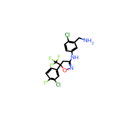 NCc1cc(NC2=NOC(c3ccc(F)c(Cl)c3)(C(F)(F)F)C2)ccc1Cl